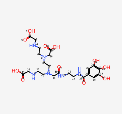 O=C(O)CNCCN(CCN(CCNCC(=O)O)CC(=O)NCCNC(=O)c1cc(O)c(O)c(O)c1)CC(=O)O